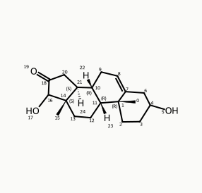 C[C@]12CCC(O)CC1=CC[C@@H]1[C@H]2CC[C@]2(C)C(O)C(=O)C[C@@H]12